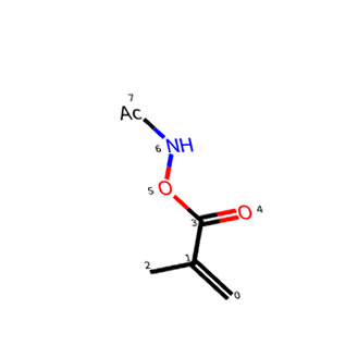 C=C(C)C(=O)ONC(C)=O